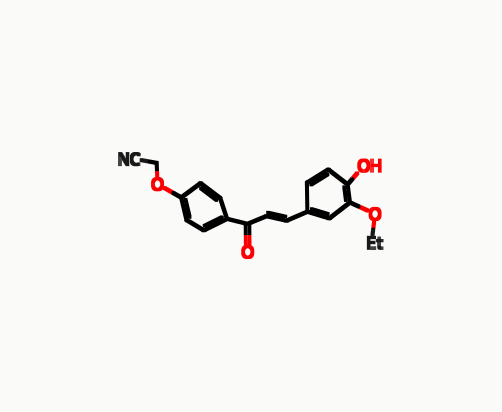 CCOc1cc(/C=C/C(=O)c2ccc(OCC#N)cc2)ccc1O